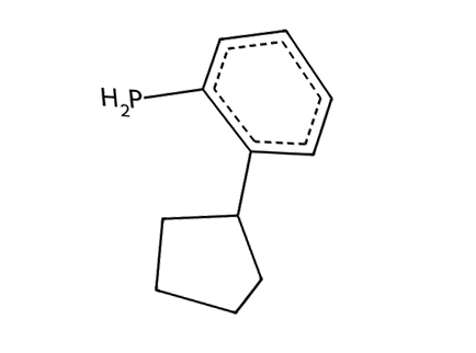 Pc1ccccc1C1CCCC1